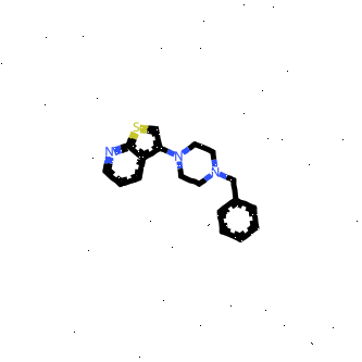 c1ccc(CN2CCN(c3csc4ncccc34)CC2)cc1